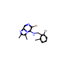 CCc1cccc(C)c1CNc1c(Br)ncc2nc(C)c(C)n12